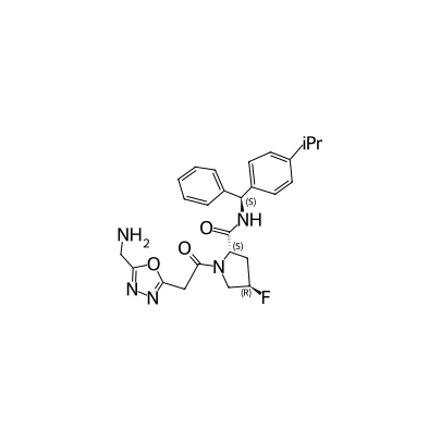 CC(C)c1ccc([C@@H](NC(=O)[C@@H]2C[C@@H](F)CN2C(=O)Cc2nnc(CN)o2)c2ccccc2)cc1